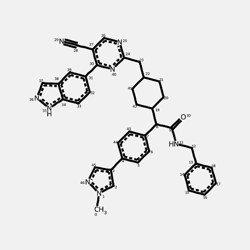 Cn1cc(-c2ccc(C(C(=O)NCc3ccccc3)C3CCC(Cc4ncc(C#N)c(-c5ccc6[nH]ncc6c5)n4)CC3)cc2)cn1